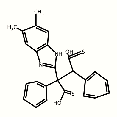 Cc1cc2nc(C(C(O)=S)(c3ccccc3)C(C(O)=S)c3ccccc3)[nH]c2cc1C